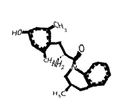 Cc1cc(O)cc(C)c1C[C@@H](N)C(=O)N1CC(C)Cc2ccccc21